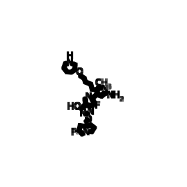 Cc1nc(N)cc(-c2ncc3c(O)nc(OC[C@@]45CCCN4C[C@H](F)C5)nc3c2F)c1CCCCCOC1CCCCNC1